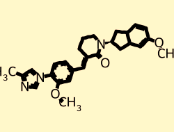 COC1=CC2C[C@@H](N3CCC/C(=C\c4ccc(-n5cnc(C)c5)c(OC)c4)C3=O)CC2C=C1